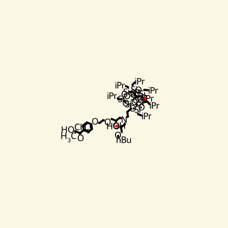 CCCCOCC(O)CN(CCC[Si]12O[Si]3(CC(C)C)O[Si]4(CC(C)C)O[Si](CC(C)C)(O1)O[Si]1(CC(C)C)O[Si](CC(C)C)(O2)O[Si](CC(C)C)(O3)O[Si](CC(C)C)(O4)O1)CC(O)COCCOc1ccc(C(=O)C(C)(C)O)cc1